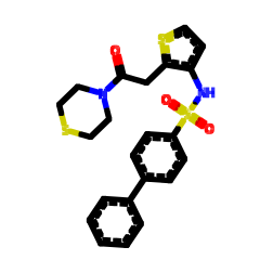 O=C(Cc1sccc1NS(=O)(=O)c1ccc(-c2ccccc2)cc1)N1CCSCC1